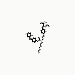 CCCCOCCN(CCOc1ccc(CC(OCC)C(=O)O)cc1)C(=O)Oc1ccc(Oc2ccccc2)cc1